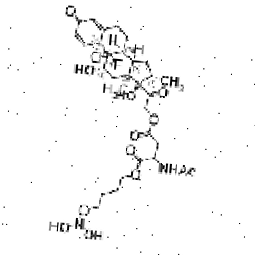 CC(=O)NC(CC(=O)OCC(=O)[C@@]1(O)[C@@H](C)C[C@H]2[C@@H]3CCC4=CC(=O)C=C[C@]4(C)[C@@]3(F)[C@@H](O)C[C@@]21C)C(=O)OCCCCON(O)O